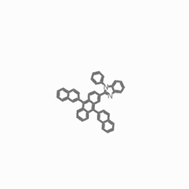 c1ccc(-n2c(-c3ccc4c(-c5ccc6ccccc6c5)c5ccccc5c(-c5ccc6ccccc6c5)c4c3)nc3ccccc32)cc1